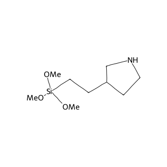 CO[Si](CCC1CCNC1)(OC)OC